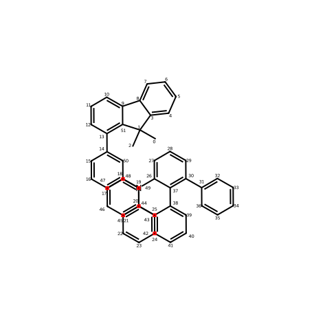 CC1(C)c2ccccc2-c2cccc(-c3cccc(N(c4ccccc4)c4cccc(-c5ccccc5)c4-c4ccccc4-c4ccccc4)c3)c21